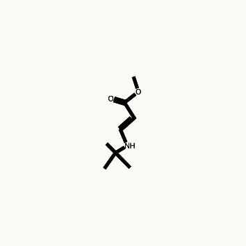 COC(=O)C=CNC(C)(C)C